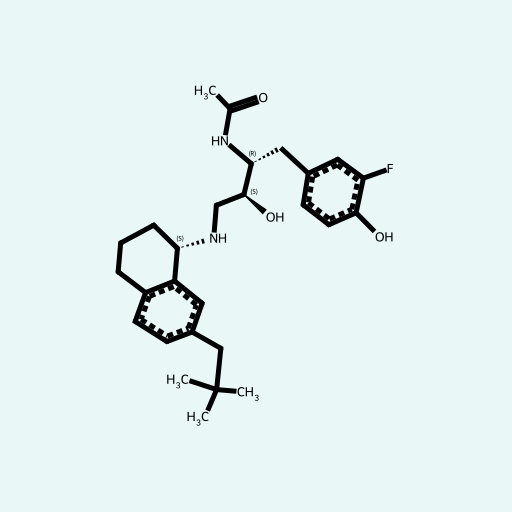 CC(=O)N[C@H](Cc1ccc(O)c(F)c1)[C@@H](O)CN[C@H]1CCCc2ccc(CC(C)(C)C)cc21